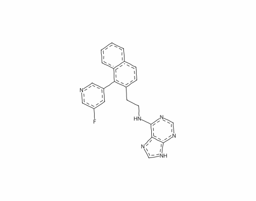 Fc1cncc(-c2c(CCNc3ncnc4[nH]cnc34)ccc3ccccc23)c1